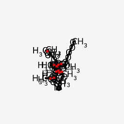 CCCCOC(=O)C(C)(CC(C)(CCC)C(=O)O)CC(C)(CCC(C)(CC(C)(CCC(C)(CC(C)(CC)C(=O)OCCOCCOCCOCCOC)C(=O)OCCOCCNC(=O)OC(C)(C)C)C(=O)NCC(C)O)C(=O)OCCSSc1ccccn1)C(=O)OCCN(C)C